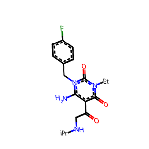 CCn1c(=O)c(C(=O)CNC(C)C)c(N)n(Cc2ccc(F)cc2)c1=O